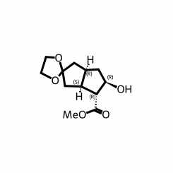 COC(=O)[C@@H]1[C@H]2CC3(C[C@H]2C[C@H]1O)OCCO3